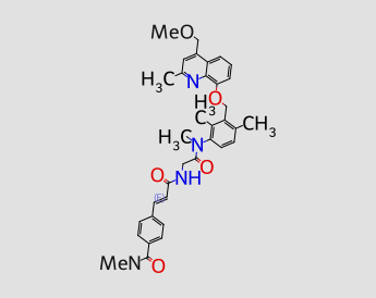 CNC(=O)c1ccc(/C=C/C(=O)NCC(=O)N(C)c2ccc(C)c(COc3cccc4c(COC)cc(C)nc34)c2C)cc1